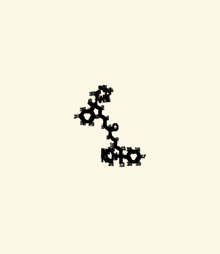 CC(CCCCC(=O)CCCCC(C)(c1ccccc1)n1cnnn1)(c1ccccc1)n1cnnn1